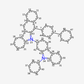 c1ccc(-c2ccc(-c3c4ccccc4cc4c5ccccc5n(-c5ccc6c7ccccc7n(-c7ccccc7)c6c5)c34)cc2)cc1